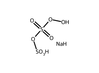 O=S(=O)(O)OS(=O)(=O)OO.[NaH]